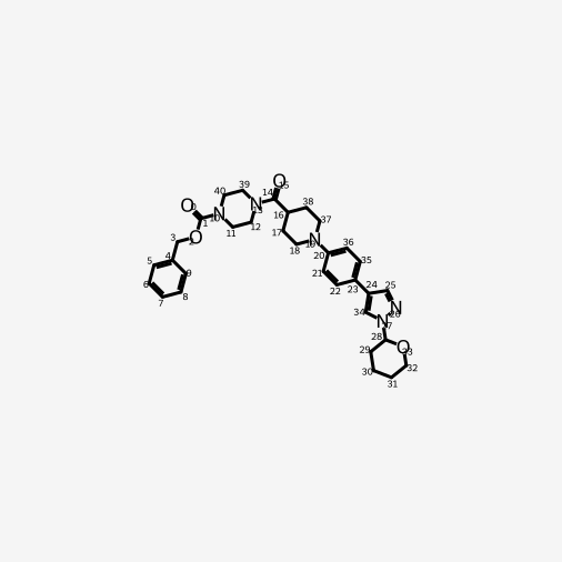 O=C(OCc1ccccc1)N1CCN(C(=O)C2CCN(c3ccc(-c4cnn(C5CCCCO5)c4)cc3)CC2)CC1